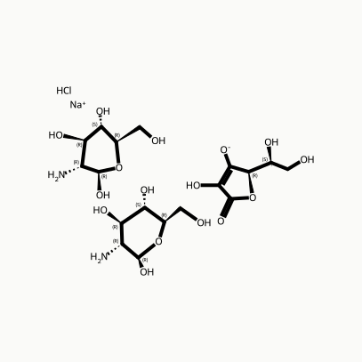 Cl.N[C@@H]1[C@@H](O)[C@H](O)[C@@H](CO)O[C@H]1O.N[C@@H]1[C@@H](O)[C@H](O)[C@@H](CO)O[C@H]1O.O=C1O[C@H]([C@@H](O)CO)C([O-])=C1O.[Na+]